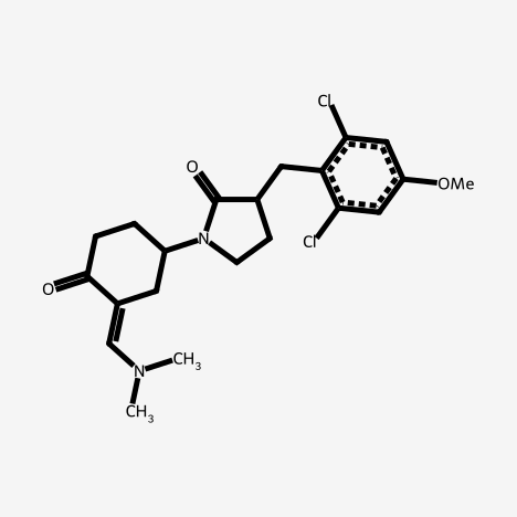 COc1cc(Cl)c(CC2CCN(C3CCC(=O)C(=CN(C)C)C3)C2=O)c(Cl)c1